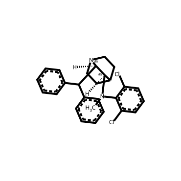 CN(c1c(Cl)cccc1Cl)[C@@H]1C2CCN(CC2)[C@@H]1C(c1ccccc1)c1ccccc1